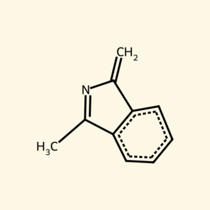 C=C1N=C(C)c2ccccc21